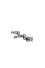 Cc1ccc(-c2c(C)c3c(c(C)c2CC(=O)O)CN(C(=O)c2cccc(B(O)O)c2)C3)cc1